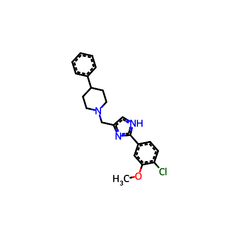 COc1cc(-c2nc(CN3CCC(c4ccccc4)CC3)c[nH]2)ccc1Cl